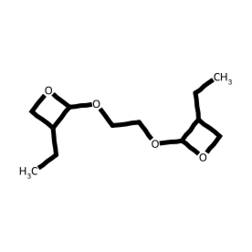 CCC1COC1OCCOC1OCC1CC